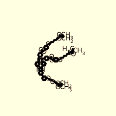 C=C(C)C(=O)OCCCCCCOc1ccc(OC(=O)C2CCC(COc3cccc(-c4nc5ccc(-c6cccc(OCCOCCOC(=O)C(=C)C)c6)cc5nc4-c4cccc(OCC5CCC(C(=O)Oc6ccc(OCCCCCCOC(=O)C(=C)C)cc6)CC5)c4)c3)CC2)cc1